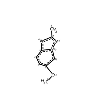 COc1ccc2nc(C)nn2c1